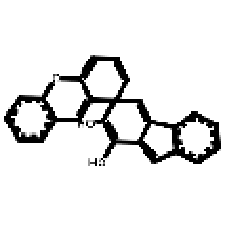 OC1=C(O)C2(C=CC=C3Oc4ccccc4C=C32)C=C2C1=Cc1ccccc12